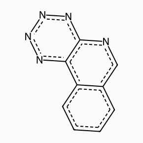 c1ccc2c(c1)cnc1nnnnc12